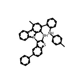 Cc1ccc(Nc2ccccc2-c2cc(C)c3c4ccccc4n4c3c2Bc2sc3ccc(-c5ccccc5)cc3c2-4)cc1